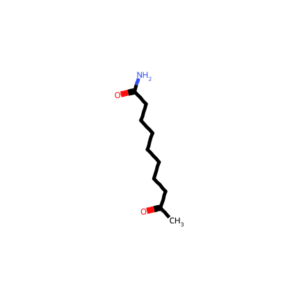 CC(=O)CCCCCCCC(N)=O